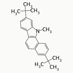 Cn1c2cc(C(C)(C)C)ccc2c2ccc3cc(C(C)(C)C)ccc3c21